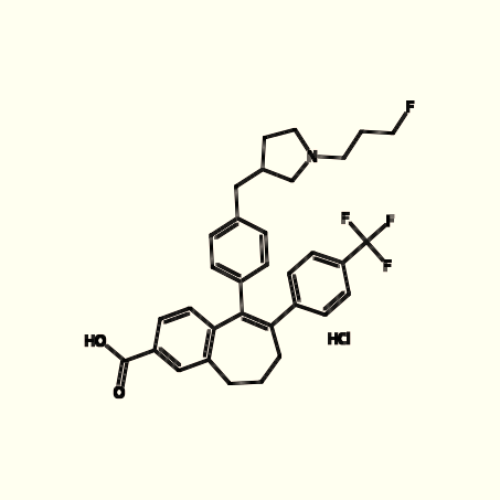 Cl.O=C(O)c1ccc2c(c1)CCCC(c1ccc(C(F)(F)F)cc1)=C2c1ccc(CC2CCN(CCCF)C2)cc1